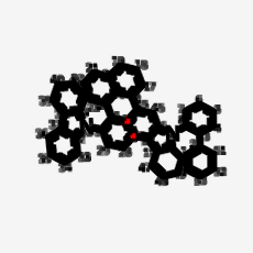 C1=C=C(c2ccccc2-n2c3c(c4ccc(-c5cccc6cccc(-c7ccccc7-n7c8ccccc8c8ccccc87)c56)cc42)C=CCC3)C=CC=1